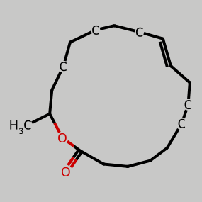 CC1CCCCCC/C=C/CCCCCCCC(=O)O1